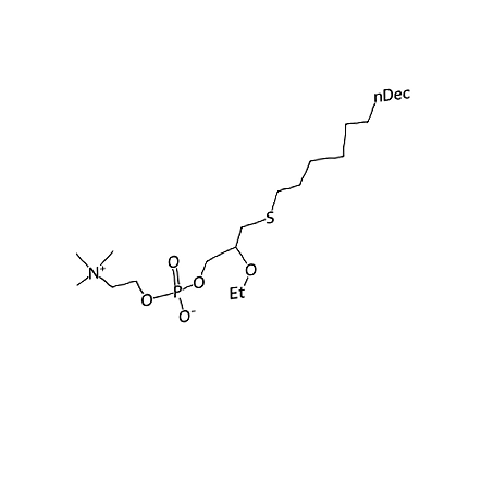 CCCCCCCCCCCCCCCCSCC(COP(=O)([O-])OCC[N+](C)(C)C)OCC